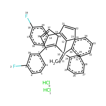 Cl.Cl.Fc1cccc(C2=[C]([Zr](=[GeH2])([C]3=C(c4cccc(F)c4)C=CC3)([c]3ccccc3)[c]3ccccc3)CC=C2)c1